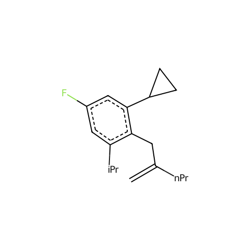 C=C(CCC)Cc1c(C(C)C)cc(F)cc1C1CC1